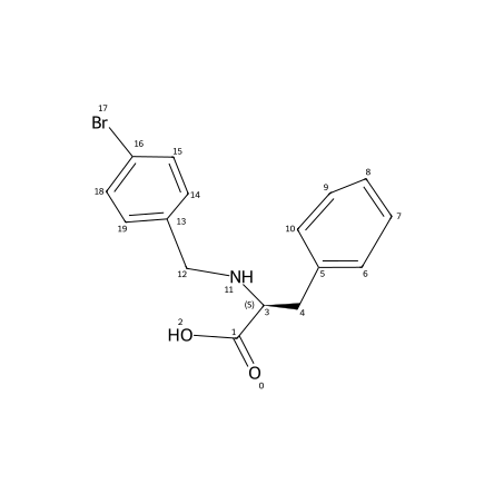 O=C(O)[C@H](Cc1ccccc1)NCc1ccc(Br)cc1